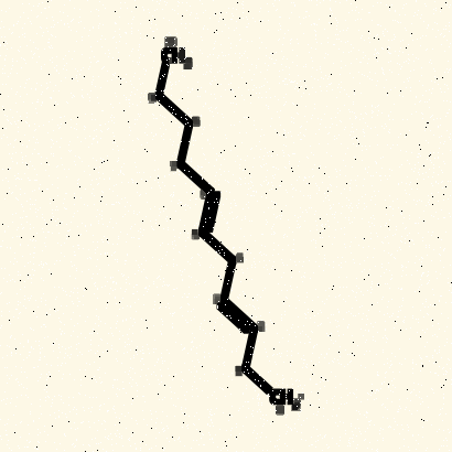 [CH2]CC=CCC=CCCCC